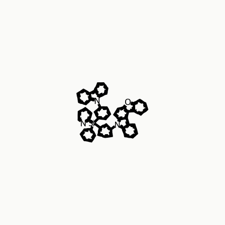 c1ccc([Si](c2cccc(-n3c4ccccc4c4ccccc43)c2)(c2cccc(-n3c4ccccc4c4c5c(ccc43)oc3ccccc35)c2)c2ccccn2)cc1